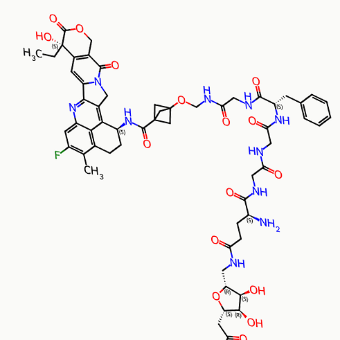 CC[C@@]1(O)C(=O)OCc2c1cc1n(c2=O)Cc2c-1nc1cc(F)c(C)c3c1c2[C@@H](NC(=O)C12CC(OCNC(=O)CNC(=O)[C@H](Cc4ccccc4)NC(=O)CNC(=O)CNC(=O)[C@@H](N)CCC(=O)NC[C@H]4O[C@@H](CC(N)=O)[C@H](O)[C@@H]4O)(C1)C2)CC3